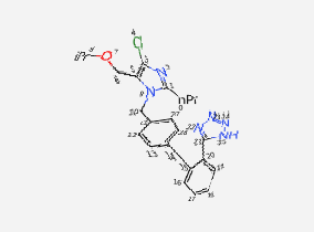 CCCc1nc(Cl)c(COC(C)C)n1Cc1ccc(-c2ccccc2-c2nnn[nH]2)cc1